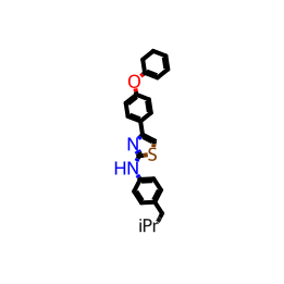 CC(C)Cc1ccc(Nc2nc(-c3ccc(OC4=CC=CCC4)cc3)cs2)cc1